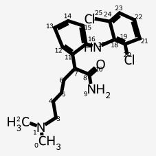 CN(C)CCCCC(C(N)=O)c1ccccc1Nc1c(Cl)cccc1Cl